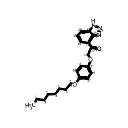 CCCCCCCCOc1ccc(OCC(=O)c2cccc3[nH]nnc23)cc1